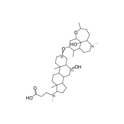 CC1CCC2[C@H](C)CCC3C(C)C(O[C@@H]4CCC5(C)C6CCC7(C)C(CCC7[C@H](C)CCC(=O)O)C6C[C@H](O)C5C4)CC(O1)C32O